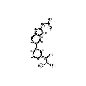 CC(=O)Nc1nc2ccc(-c3cccc(C(=O)N(C)C)c3)cn2n1